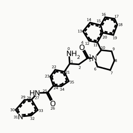 NC(CC(=O)N1CCCCC1c1cccc2ccccc12)c1ccc(C(=O)Nc2ccncc2)cc1